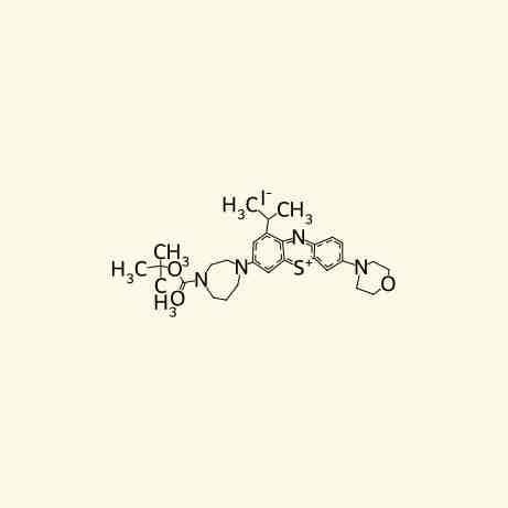 CC(C)c1cc(N2CCCN(C(=O)OC(C)(C)C)CC2)cc2[s+]c3cc(N4CCOCC4)ccc3nc12.[I-]